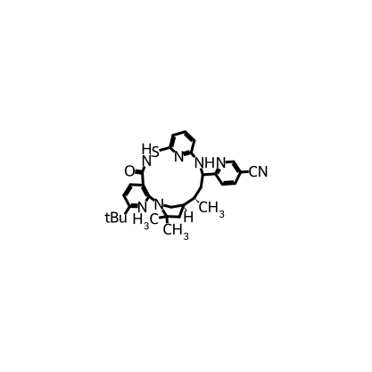 C[C@H]1CC(c2ccc(C#N)cn2)Nc2cccc(n2)SNC(=O)c2ccc(C(C)(C)C)nc2N2C[C@@H]1CC2(C)C